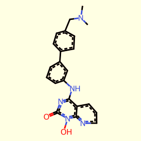 CN(C)Cc1ccc(-c2cccc(Nc3nc(=O)n(O)c4ncccc34)c2)cc1